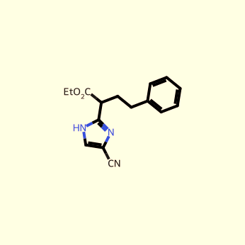 CCOC(=O)C(CCc1ccccc1)c1nc(C#N)c[nH]1